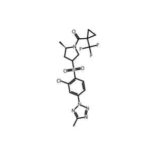 Cc1nnn(-c2ccc(S(=O)(=O)C3C[C@@H](C)N(C(=O)C4(C(F)(F)F)CC4)C3)c(Cl)c2)n1